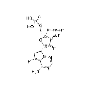 [N-]=[N+]=N[C@]1(COP(=O)(O)O)O[C@@H](c2cc(F)c3c(N)ncnn23)[C@H](F)[C@@H]1O